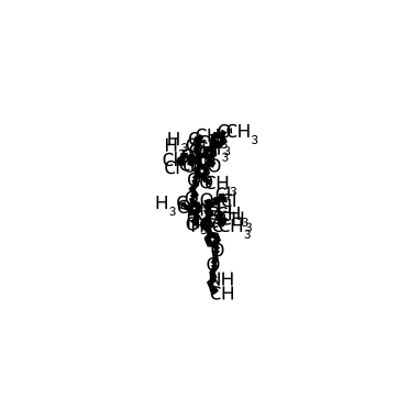 C#CCNCCOCCOc1ccc(C2=CN3C(=O)c4cc(OC)c(OCCCOc5cc6c(cc5OC)C(=O)N5C=C(c7ccc(OC)cc7)CC5C(O[Si](C)(C)C(C)(C)C)N6C(=O)OCC(Cl)(Cl)Cl)cc4N(C(=O)OCC(Cl)(Cl)Cl)C(O[Si](C)(C)C(C)(C)C)C3C2)cc1